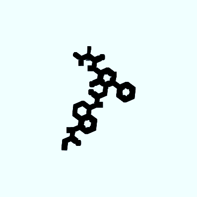 C=CC(=O)Nc1cccc2c1CCCC2NC(=O)Cn1c(-c2ccccc2)ncc(NC(=O)[C@H](C)NC)c1=O